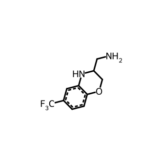 NCC1COc2ccc(C(F)(F)F)cc2N1